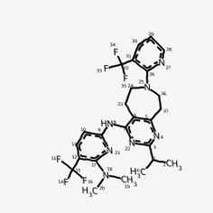 CC(C)c1nc2c(c(Nc3ccc(C(F)(F)F)c(N(C)C)n3)n1)CCN(c1ncccc1C(F)(F)F)CC2